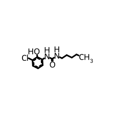 CCCCCNC(=O)Nc1cccc(Cl)c1O